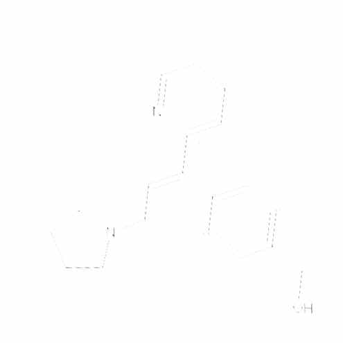 OCc1ccc(/C(=C\CN2CCCC2)c2ccccn2)cc1